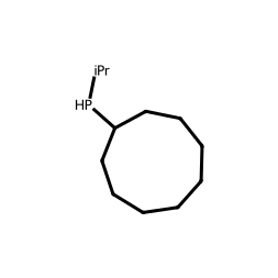 CC(C)PC1CCCCCCCC1